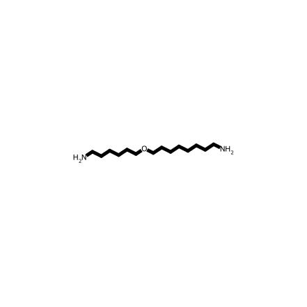 NCCCCCCCCOCCCCCCN